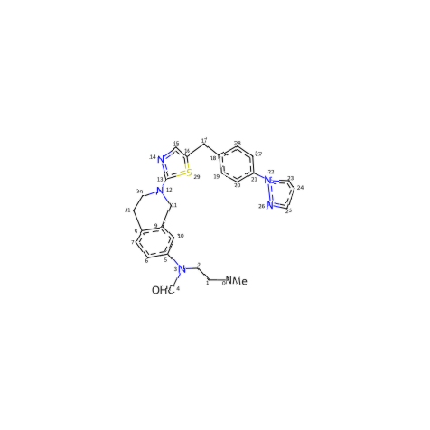 CNCCN(C=O)c1ccc2c(c1)CN(c1ncc(Cc3ccc(-n4cccn4)cc3)s1)CC2